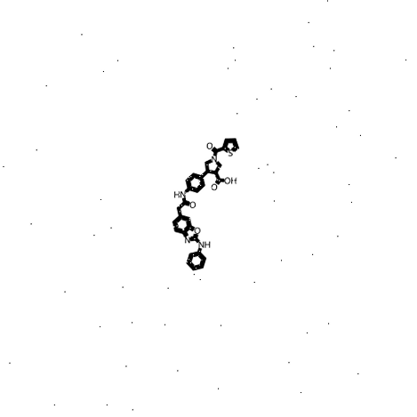 O=C(Cc1ccc2nc(Nc3ccccc3)oc2c1)Nc1ccc(C2CN(C(=O)c3cccs3)CC2C(=O)O)cc1